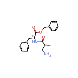 CC(CN)C(=O)N[C@@H](Cc1ccccc1)C(=O)OCc1ccccc1